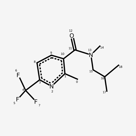 Cc1nc(C(F)(F)F)ccc1C(=O)N(C)CC(C)C